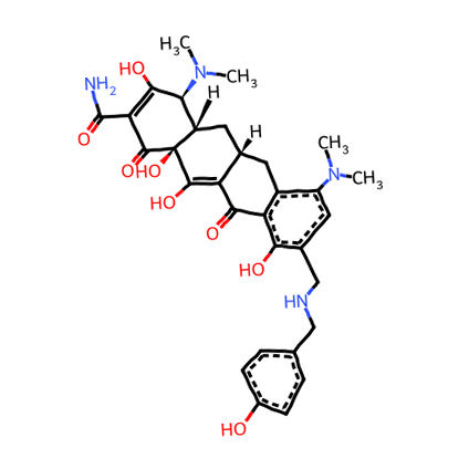 CN(C)c1cc(CNCc2ccc(O)cc2)c(O)c2c1C[C@H]1C[C@H]3[C@H](N(C)C)C(O)=C(C(N)=O)C(=O)[C@@]3(O)C(O)=C1C2=O